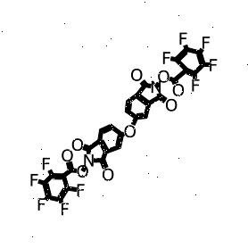 O=C(ON1C(=O)c2ccc(Oc3ccc4c(c3)C(=O)N(OC(=O)c3c(F)c(F)c(F)c(F)c3F)C4=O)cc2C1=O)c1c(F)c(F)c(F)c(F)c1F